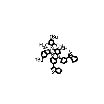 Cc1cc2c3c(c1)N(c1c(C)cc(C(C)(C)C)cc1C)c1sc4ccc(C(C)(C)C)cc4c1B3c1ccc(-c3csc4ccccc34)cc1N2c1cccc(-c2csc3ccccc23)c1